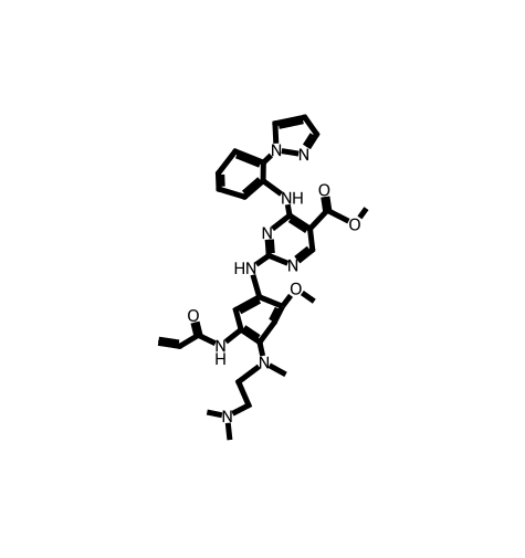 C=CC(=O)Nc1cc(Nc2ncc(C(=O)OC)c(Nc3ccccc3-n3cccn3)n2)c(OC)cc1N(C)CCN(C)C